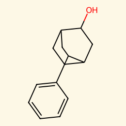 OC1CC2CCC1CC2c1ccccc1